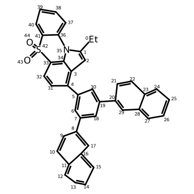 CCc1cc2c(-c3cc(-c4ccc5ccccc5c4)cc(-c4ccc5ccccc5c4)c3)ccc3c2n1-c1ccccc1S3(=O)=O